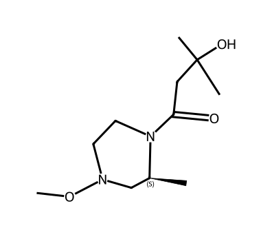 CON1CCN(C(=O)CC(C)(C)O)[C@@H](C)C1